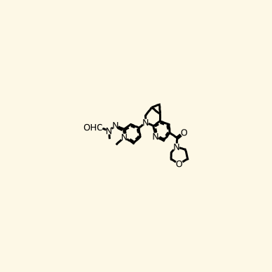 CN(C=O)/N=c1/cc(N2CC3CC3c3cc(C(=O)N4CCOCC4)cnc32)ccn1C